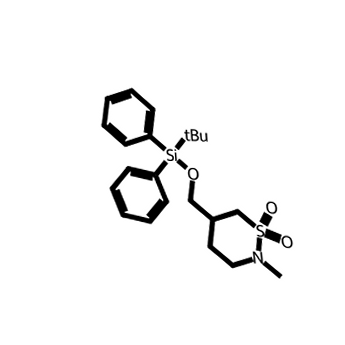 CN1CCC(CO[Si](c2ccccc2)(c2ccccc2)C(C)(C)C)CS1(=O)=O